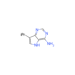 CC(C)c1c[nH]c2c(N)ncnc12